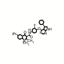 Cc1c(C(=O)Nc2ccc(Oc3ncnc4[nH]cc(-c5ccccc5)c34)c(F)c2)c(=O)c2cc(C(C)C)ccc2n1C